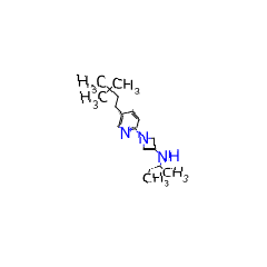 CCC(C)NC1CN(c2ccc(CCC(C)(C)C)cn2)C1